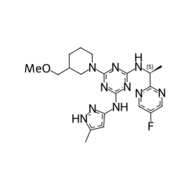 COCC1CCCN(c2nc(Nc3cc(C)[nH]n3)nc(N[C@@H](C)c3ncc(F)cn3)n2)C1